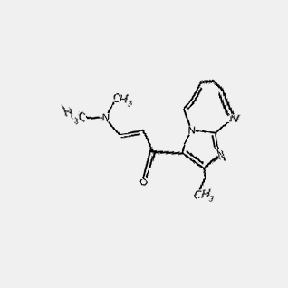 Cc1nc2ncccn2c1C(=O)C=CN(C)C